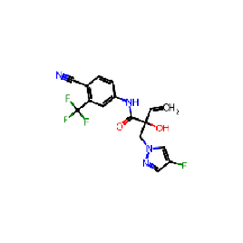 C=CC(O)(Cn1cc(F)cn1)C(=O)Nc1ccc(C#N)c(C(F)(F)F)c1